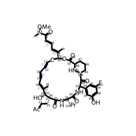 CON(C)C(=O)/C=C/C=C(\C)[C@@H]1C/C=C/C=C/C=C(\C)[C@@H](O)[C@@H](CCC(C)=O)C(=O)N[C@@H](C(C)C)C(=O)NC(c2cc(O)cc(F)c2)C(=O)N2CCCC(N2)C(=O)O1